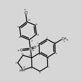 Cc1ccc2c(c1)CCC1NCCC21S(=O)(=O)c1ccc(Cl)cc1